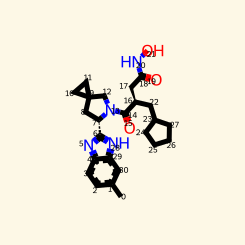 Cc1ccc2nc([C@@H]3CC4(CC4)CN3C(=O)[C@@H](CC(=O)NO)CC3CCCC3)[nH]c2c1